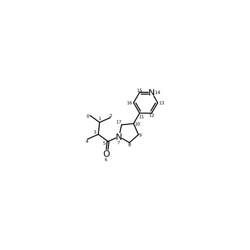 CC(C)C(C)C(=O)N1CCC(c2ccncc2)C1